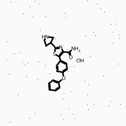 Cl.NC(=O)c1nc(C2CCNC2)sc1-c1ccc(Oc2ccccc2)cc1